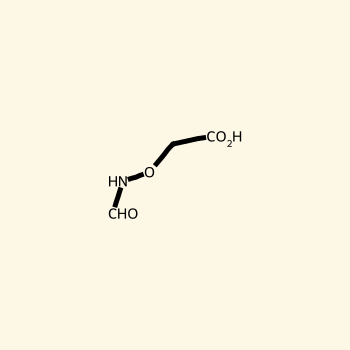 O=CNOCC(=O)O